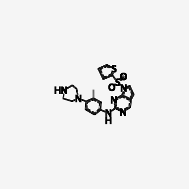 Cc1cc(Nc2ncc3ccn(S(=O)(=O)c4cccs4)c3n2)ccc1N1CCNCC1